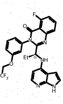 CC[C@H](Nc1ccnc2[nH]ccc12)c1nc2cccc(F)c2c(=O)n1-c1cccc(OCC(F)(F)F)c1